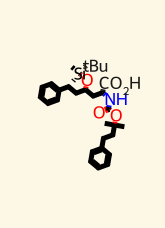 CC(C)(CCc1ccccc1)OC(=O)NC(CC(CCc1ccccc1)O[Si](C)(C)C(C)(C)C)C(=O)O